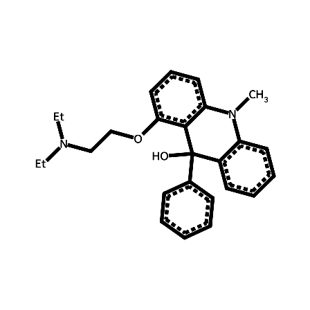 CCN(CC)CCOc1cccc2c1C(O)(c1ccccc1)c1ccccc1N2C